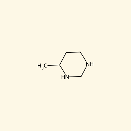 CC1CCNCN1